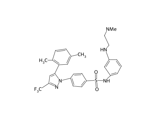 CNCCNc1cccc(NS(=O)(=O)c2ccc(-n3nc(C(F)(F)F)cc3-c3cc(C)ccc3C)cc2)c1